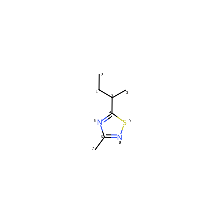 CCC(C)c1nc(C)ns1